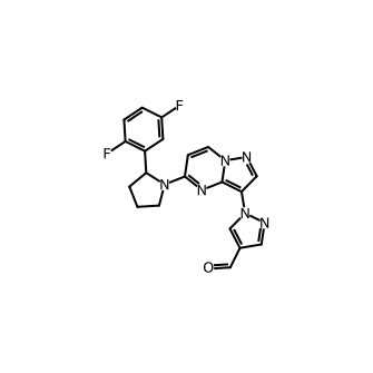 O=Cc1cnn(-c2cnn3ccc(N4CCCC4c4cc(F)ccc4F)nc23)c1